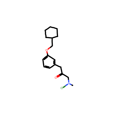 CN(Cl)CC(=O)Cc1cccc(OCC2CCCCC2)c1